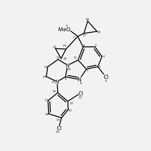 COC(c1ccc(Cl)c2nc3n(c12)CCCN3c1ccc(Cl)cc1Cl)(C1CC1)C1CC1